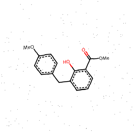 COC(=O)c1cccc(Cc2ccc(OC)cc2)c1O